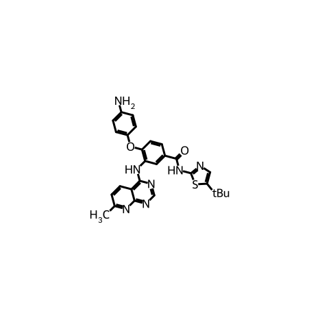 Cc1ccc2c(Nc3cc(C(=O)Nc4ncc(C(C)(C)C)s4)ccc3Oc3ccc(N)cc3)ncnc2n1